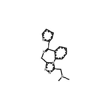 CN(C)Cc1nnc2n1-c1ccccc1C(c1ccccn1)=NC2